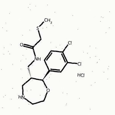 CSCC(=O)NC[C@H]1CNCCO[C@@H]1c1ccc(Cl)c(Cl)c1.Cl